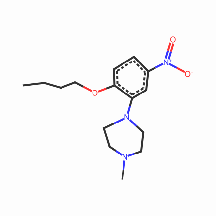 CCCCOc1ccc([N+](=O)[O-])cc1N1CCN(C)CC1